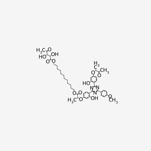 COc1ccc(-c2nc(-c3ccc(OC(C)C(C)=O)cc3O)nc(-c3ccc(OC(C)C(=O)OCCCCCCCCCCCCOC(=O)C(O)C(O)C(C)=O)cc3O)n2)cc1